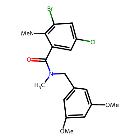 CNc1c(Br)cc(Cl)cc1C(=O)N(C)Cc1cc(OC)cc(OC)c1